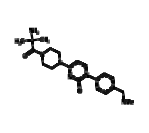 CNCc1ccc(-n2ccc(N3CCN(C(=O)C(C)(C)N)CC3)nc2=O)cc1